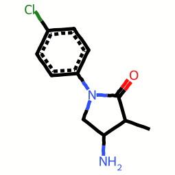 CC1C(=O)N(c2ccc(Cl)cc2)CC1N